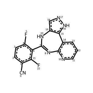 N#Cc1ccc(F)c(C2=Nc3ncccc3-c3[nH]ncc3N2)c1F